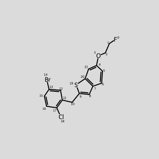 FCCOc1ccc2cc(Cc3cc(Br)ccc3Cl)sc2c1